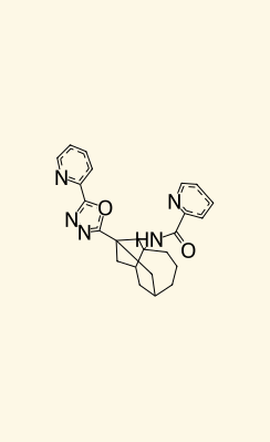 O=C(NC12CCCC3CC1CC(c1nnc(-c4ccccn4)o1)(C3)C2)c1ccccn1